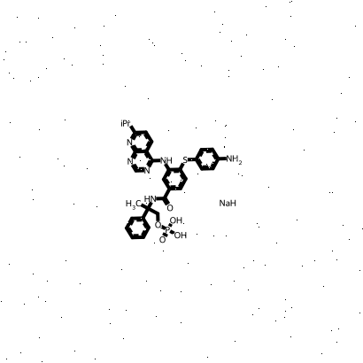 CC(C)c1ccc2c(Nc3cc(C(=O)NC(C)(COP(=O)(O)O)c4ccccc4)ccc3Sc3ccc(N)cc3)ncnc2n1.[NaH]